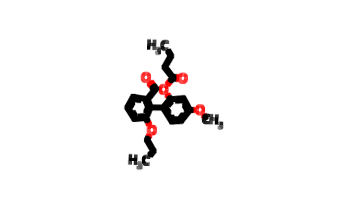 CCCOc1cccc(C=O)c1-c1ccc(OC)cc1OC(=O)CCC